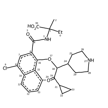 CCC(C)(NC(=O)c1cc(Cl)c2ccccc2c1OC(C(=O)C1CC1)C1CCNCC1)C(=O)O